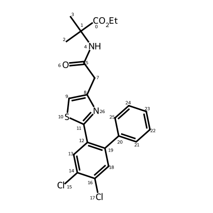 CCOC(=O)C(C)(C)NC(=O)Cc1csc(-c2cc(Cl)c(Cl)cc2-c2ccccc2)n1